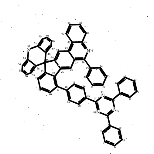 c1ccc(-c2nc(-c3ccccc3)nc(-c3ccc(-c4cccc5c4-c4cc6c(-c7ccccc7)nc7ccccc7c6cc4C54c5ccccc5Sc5ccccc54)cc3)n2)cc1